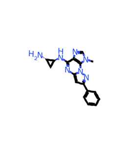 Cn1cnc2c(N[C@H]3C[C@@H]3N)nc3cc(-c4ccccc4)nn3c21